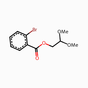 COC(COC(=O)c1ccccc1Br)OC